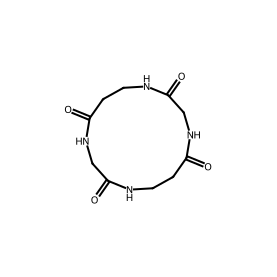 O=C1CCNC(=O)CNC(=O)CCNC(=O)CN1